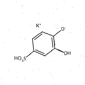 O=S(=O)(O)c1ccc([O-])c(O)c1.[K+]